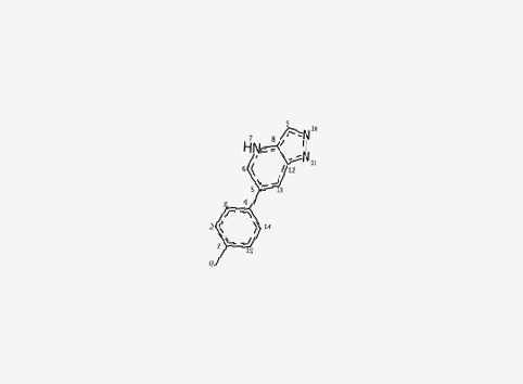 Cc1ccc(-c2c[nH]c3cnnc-3c2)cc1